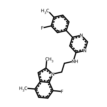 Cc1ccc(-c2cc(NCCn3c(C)cc4c(C)ccc(F)c43)ncn2)cc1F